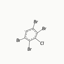 Clc1c(Br)c(Br)[c]c(Br)c1Br